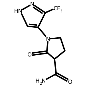 NC(=O)C1CCN(c2c[nH]nc2C(F)(F)F)C1=O